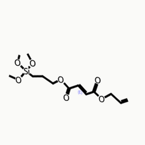 C=CCOC(=O)/C=C/C(=O)OCCC[Si](OC)(OC)OC